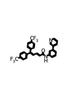 O=C(C=CC=C(c1ccc(C(F)(F)F)cc1)c1ccc(C(F)(F)F)cc1)Nc1cccc(-c2cccnc2)c1